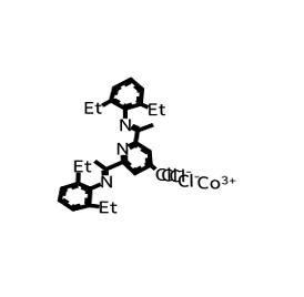 CCc1cccc(CC)c1N=C(C)c1cc(Cl)cc(C(C)=Nc2c(CC)cccc2CC)n1.[Cl-].[Cl-].[Cl-].[Co+3]